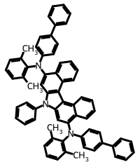 Cc1cccc(C)c1N(c1ccc(-c2ccccc2)cc1)c1cc2c(c3ccccc13)c1c3ccccc3c(N(c3ccc(-c4ccccc4)cc3)c3c(C)cccc3C)cc1n2-c1ccccc1